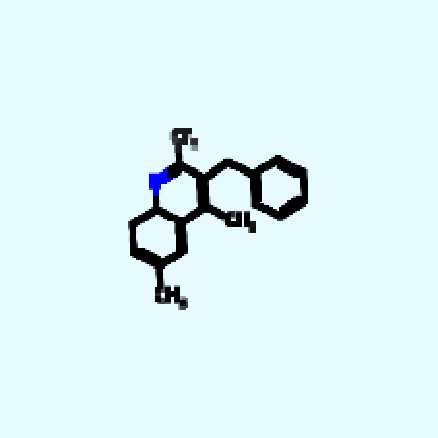 CC1=CCC2N=C(C(F)(F)F)C(Cc3ccccc3)=C(C)C2=C1